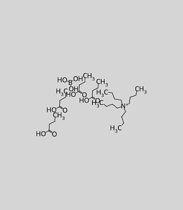 CCCC(=O)O.CCCC(=O)O.CCCC(=O)O.CCCC(=O)O.CCCC[N+](CCCC)(CCCC)CCCC.OB(O)O